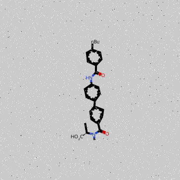 CCCCc1ccc(C(=O)Nc2ccc(-c3ccc(C(=O)N(C)[C@@H](C)C(=O)O)cc3)cc2)cc1